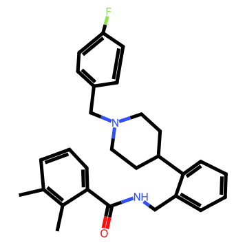 Cc1cccc(C(=O)NCc2ccccc2C2CCN(Cc3ccc(F)cc3)CC2)c1C